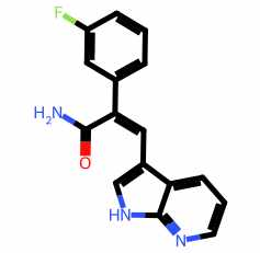 NC(=O)/C(=C\c1c[nH]c2ncccc12)c1cccc(F)c1